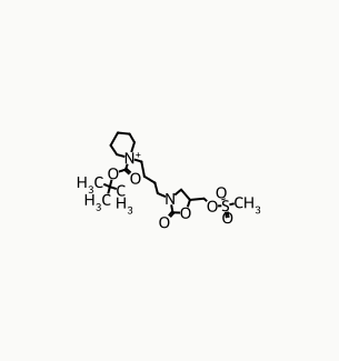 CC(C)(C)OC(=O)[N+]1(CCCCN2CC(COS(C)(=O)=O)OC2=O)CCCCC1